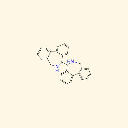 c1ccc2c(c1)CNC(C1NCc3ccccc3-c3ccccc31)c1ccccc1-2